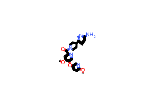 COc1ccc(Oc2cnc(C(=O)N3CCC(c4ccc(N)nn4)CC3)cc2OC)cn1